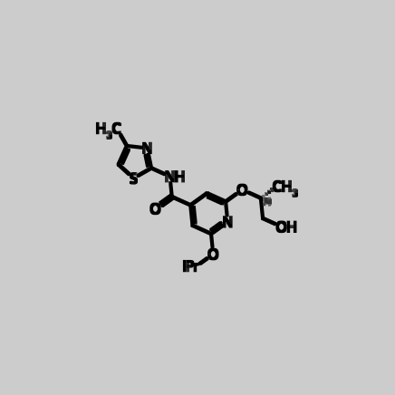 Cc1csc(NC(=O)c2cc(OC(C)C)nc(O[C@H](C)CO)c2)n1